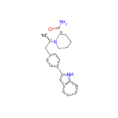 N#C[C@H](Cc1ccc(-c2cc3ccccc3[nH]2)cc1)N1CCCC[C@H]1C(N)=O